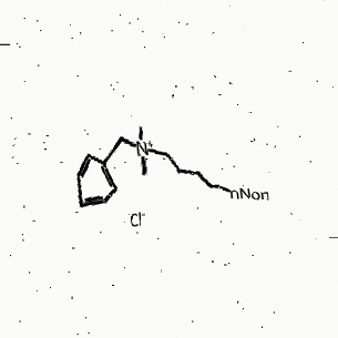 CCCCCCCCCCCCC[N+](C)(C)Cc1ccccc1.[Cl-]